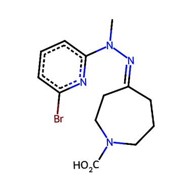 CN(/N=C1/CCCN(C(=O)O)CC1)c1cccc(Br)n1